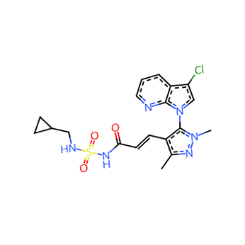 Cc1nn(C)c(-n2cc(Cl)c3cccnc32)c1/C=C/C(=O)NS(=O)(=O)NCC1CC1